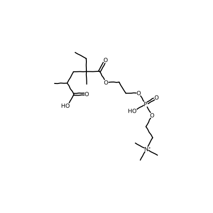 CCC(C)(CC(C)C(=O)O)C(=O)OCCOP(=O)(O)OCC[N+](C)(C)C